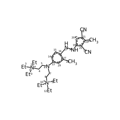 CC[N+](CC)(CC)CCN(CC[N+](CC)(CC)CC)c1ccc(NNc2sc(C#N)c(C)c2C#N)c(C)c1